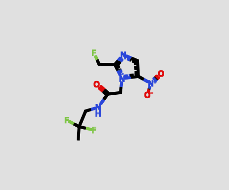 CC(F)(F)CNC(=O)Cn1c([N+](=O)[O-])cnc1CF